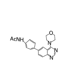 CC(=O)Nc1ccc(-c2ccc3ncnc(N4CCOCC4)c3c2)cc1